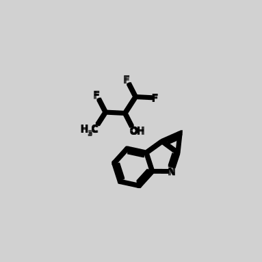 CC(F)C(O)C(F)F.c1ccc2c3cc-3nc2c1